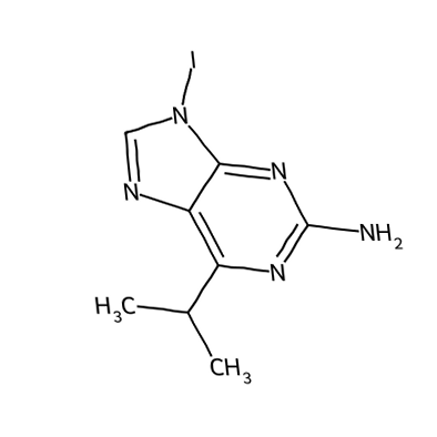 CC(C)c1nc(N)nc2c1ncn2I